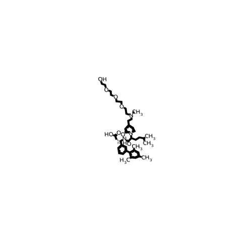 Cc1cc(C)c(-c2cccc([C@H](CC(=O)O)NC(=O)C(CCC(C)C)n3ccc(CCN(C)CCOCCOCCOCCO)cc3=O)c2)c(C)c1